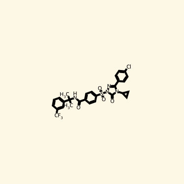 CC(C)(NC(=O)c1ccc(S(=O)(=O)n2nc(-c3ccc(Cl)cc3)n(C3CC3)c2=O)cc1)c1cccc(C(F)(F)F)c1